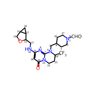 O=CN1CCC(CN2c3nc(NCC4OCC5CC54)cc(=O)n3CCC2C(F)(F)F)CC1